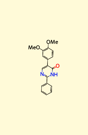 COc1ccc(-c2cnc(-c3ccccc3)[nH]c2=O)cc1OC